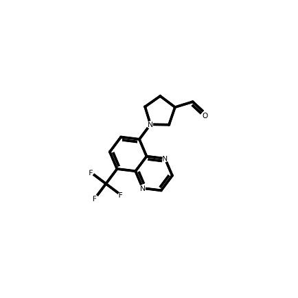 O=CC1CCN(c2ccc(C(F)(F)F)c3nccnc23)C1